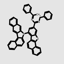 C/C(=N\C(=N/Cc1ccccc1)c1cc(-n2c3cc4ccccc4cc3c3c4ccccc4ccc32)c2c(c1)sc1c3ccccc3ccc12)c1ccccc1